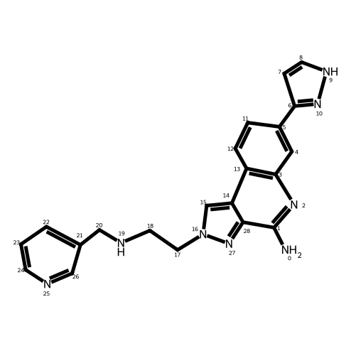 Nc1nc2cc(-c3cc[nH]n3)ccc2c2cn(CCNCc3cccnc3)nc12